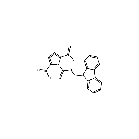 O=C(Cl)C1=C=C=C(C(=O)Cl)N1C(=O)OCC1c2ccccc2-c2ccccc21